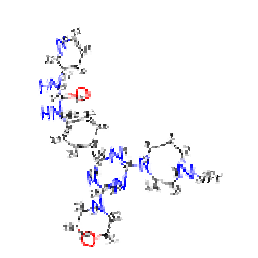 CC(C)N1CCCN(c2nc(-c3ccc(NC(=O)Nc4cccnc4)cc3)nc(N3CCOCC3)n2)CC1